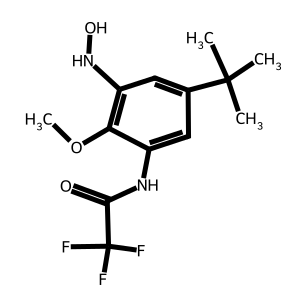 COc1c(NO)cc(C(C)(C)C)cc1NC(=O)C(F)(F)F